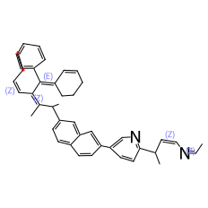 C=C\C=C/C(=C(\C)C(C)c1ccc2ccc(-c3ccc(C(C)/C=C\N=C/C)nc3)cc2c1)C(=C1/C=CCCC1)/c1ccccc1